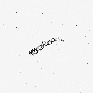 CCOc1ccc(CC(=O)N2CCN(c3ccc4nncn4n3)CC2)cc1